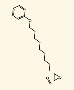 C1CO1.C=O.CCCCCCCCCOc1ccccc1